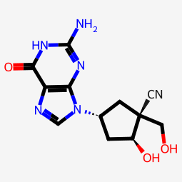 N#C[C@]1(CO)C[C@@H](n2cnc3c(=O)[nH]c(N)nc32)C[C@@H]1O